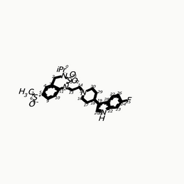 CC(C)N1Cc2cc([S+](C)[O-])ccc2N(CCN2CCC(c3c[nH]c4cc(F)ccc34)CC2)S1(=O)=O